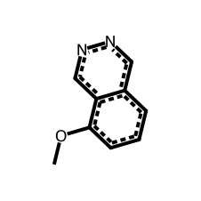 COc1cccc2cnncc12